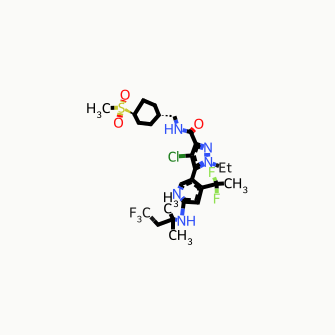 CCn1nc(C(=O)NC[C@H]2CC[C@H](S(C)(=O)=O)CC2)c(Cl)c1-c1cnc(NC(C)(C)CC(F)(F)F)cc1C(C)(F)F